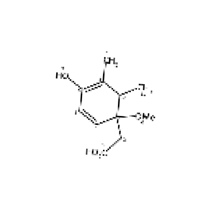 COC1(CC(=O)O)C=CC(O)=C(C)C1C